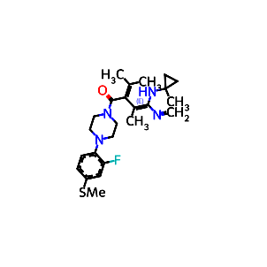 C=N/C(NC1(C)CC1)=C(\C)C(C(=O)N1CCN(c2ccc(SC)cc2F)CC1)=C(C)C